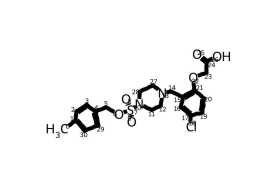 Cc1ccc(COS(=O)(=O)N2CCN(Cc3cc(Cl)ccc3OCC(=O)O)CC2)cc1